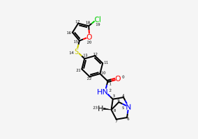 O=C(NC1CN2CC[C@H]1C2)c1ccc(Sc2ccc(Cl)o2)cc1